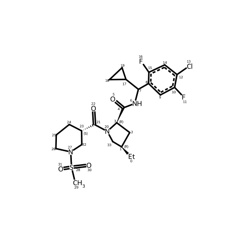 CC[C@@H]1C[C@H](C(=O)NC(c2cc(F)c(Cl)cc2F)C2CC2)N(C(=O)[C@H]2CCCN(S(C)(=O)=O)C2)C1